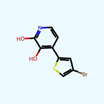 Oc1nccc(-c2cc(Br)cs2)c1O